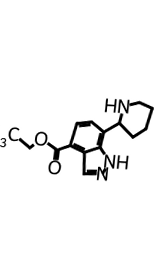 CCOC(=O)c1ccc(C2CCCCN2)c2[nH]ncc12